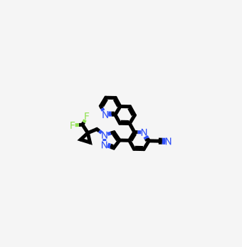 N#Cc1ccc(-c2cnn(CC3(C(F)F)CC3)c2)c(-c2ccc3cccnc3c2)n1